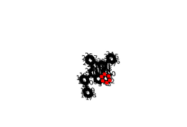 Cc1ccc2ccc3c(-c4cccc(-c5ccccc5)c4)cc(-c4ccccc4-c4cc(-c5ccccc5)nc(-c5ccccc5)n4)nc3c2n1